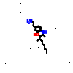 CCCCCCC(C)C(O)C(C)Nc1ccc(CCN)cc1